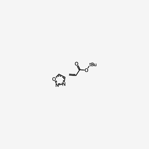 C=CC(=O)OC(C)(C)C.c1conn1